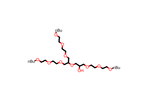 CCCCOCCOCCOCC(O)COC(COCCOCCOCCCC)COCCOCCOCCCC